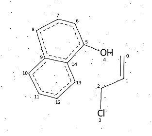 C=CCCl.Oc1cccc2ccccc12